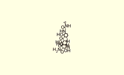 CN(C)[C@@H]1C(O)=C(C(N)=O)C(=O)[C@]2(O)C(O)=C3C(=O)c4c(ccc(NCC(=O)NC5CC5)c4O)C[C@@H]3C[C@H]12